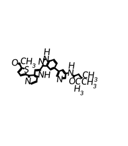 CC(=O)c1ccc(-c2nccc3[nH]c(-c4n[nH]c5ccc(-c6cncc(NC(=O)CC(C)(C)C)c6)cc45)cc23)s1